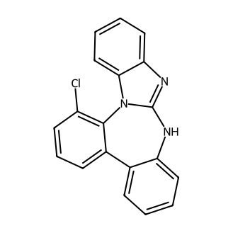 Clc1cccc2c1-n1c(nc3ccccc31)Nc1ccccc1-2